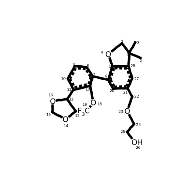 CC1(C)COc2c(-c3cccc(C4COCO4)c3OC(F)(F)F)cc(COCCO)cc21